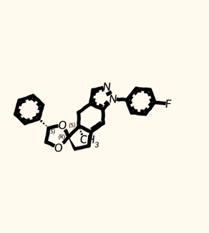 C[C@]12Cc3cnn(-c4ccc(F)cc4)c3C=C1CC[C@]21OC[C@H](c2ccccc2)O1